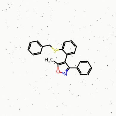 Cc1onc(-c2ccccc2)c1-c1ccccc1SCc1ccccc1